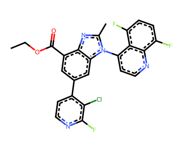 CCOC(=O)c1cc(-c2ccnc(F)c2Cl)cc2c1nc(C)n2-c1ccnc2c(F)ccc(F)c12